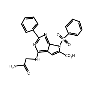 NC(=O)CNc1nc(-c2ccccc2)nc2c1cc(C(=O)O)n2S(=O)(=O)c1ccccc1